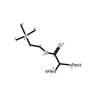 CCCCCCC(CCCCC)C(=O)OCCS(C)(C)C